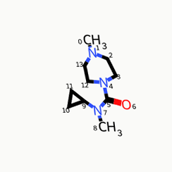 CN1CCN(C(=O)N(C)C2CC2)CC1